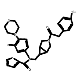 CC(C)(C)c1ccc(CC(=O)N2CC3C(C2)C3CN(C(=O)c2cccs2)c2ccc(N3CCOCC3)c(F)c2)cc1